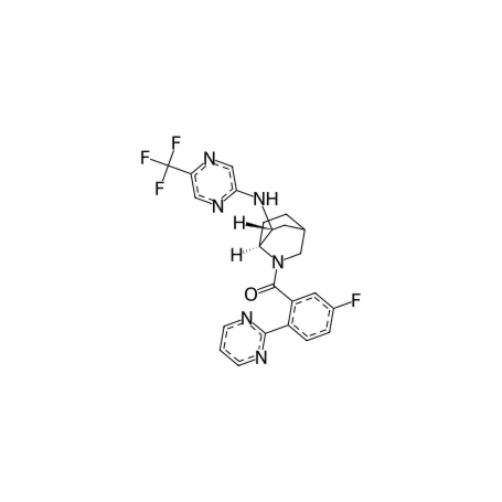 O=C(c1cc(F)ccc1-c1ncccn1)N1CC2CC[C@H]1[C@H](Nc1cnc(C(F)(F)F)cn1)C2